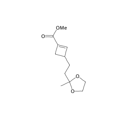 COC(=O)C1=CC(CCC2(C)OCCO2)C1